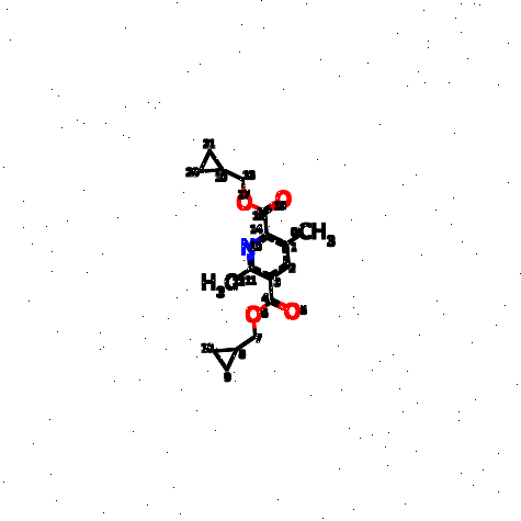 Cc1cc(C(=O)OCC2CC2)c(C)nc1C(=O)OCC1CC1